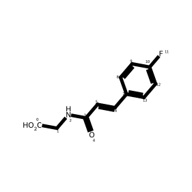 O=C(O)CNC(=O)C=Cc1ccc(F)cc1